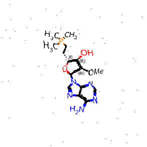 C=P(C)(C)CC[C@H]1OC(n2cnc3c(N)ncnc32)[C@H](OC)[C@@H]1O